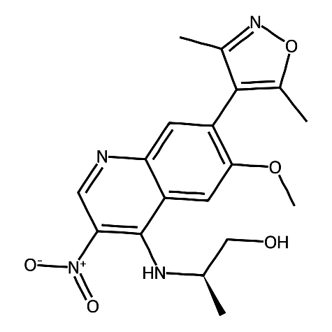 COc1cc2c(N[C@H](C)CO)c([N+](=O)[O-])cnc2cc1-c1c(C)noc1C